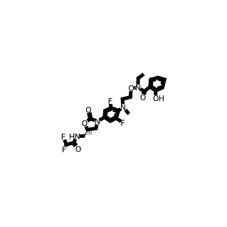 CCN(OCCN(C)c1c(F)cc(N2C[C@H](CNC(=O)C(F)F)OC2=O)cc1F)C(=O)c1ccccc1O